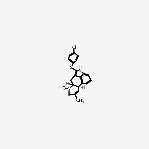 CC1=C[C@@H]2c3cccc4[nH]c(Sc5ccc(Cl)cc5)c(c34)C[C@H]2N(C)C1